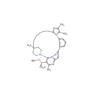 Cc1nc2cc3nn2c(c1[C@H](OC(C)(C)C)C(=O)O)N1CCC(C)(CCCCCCc2nc(C)c(C)n2-c2cccc-3c2)CC1